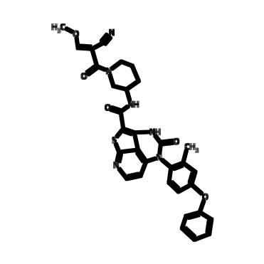 CO/C=C(\C#N)C(=O)N1CCCC(NC(=O)c2sc3nccc4c3c2NC(=O)N4c2ccc(Oc3ccccc3)cc2C)C1